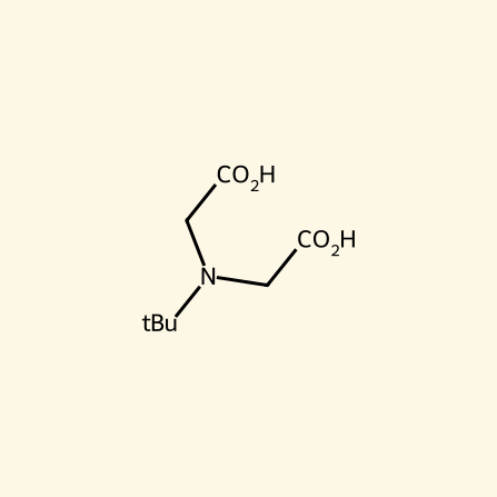 CC(C)(C)N(CC(=O)O)CC(=O)O